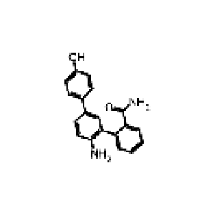 NC(=O)c1ccccc1-c1cc(-c2ccc(O)cc2)ccc1N